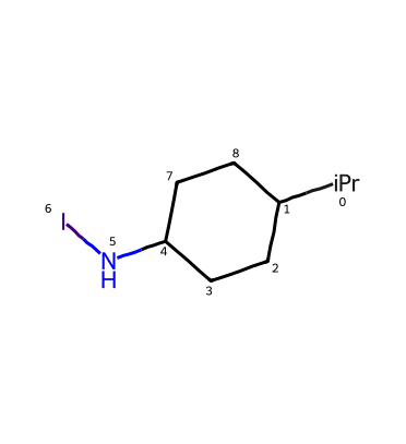 CC(C)C1CCC(NI)CC1